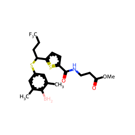 Bc1c(C)cc(SC(CCC(F)(F)F)c2ccc(C(=O)NCCC(=O)OC)s2)cc1C